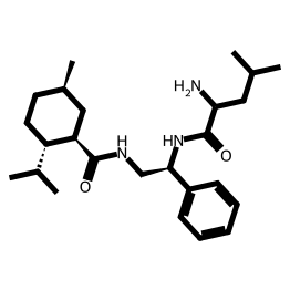 CC(C)CC(N)C(=O)N[C@H](CNC(=O)[C@@H]1C[C@H](C)CC[C@H]1C(C)C)c1ccccc1